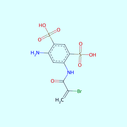 C=C(Br)C(=O)Nc1cc(N)c(S(=O)(=O)O)cc1S(=O)(=O)O